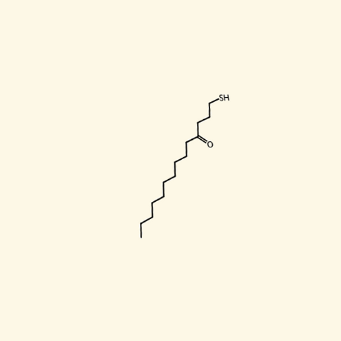 CCCCCCCCCCC(=O)CCCS